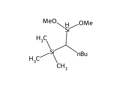 CCCCC([SiH](OC)OC)[Si](C)(C)C